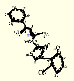 N=C(/C=C(/O)Nc1nc(-c2c(Cl)cccc2Cl)cs1)c1ccccc1